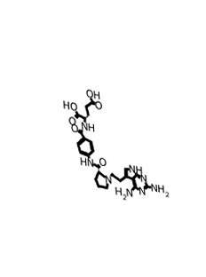 Nc1nc(N)c2c(CCN3CCC[C@@H]3C(=O)Nc3ccc(C(=O)N[C@@H](CCC(=O)O)C(=O)O)cc3)c[nH]c2n1